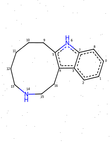 c1ccc2c3c([nH]c2c1)CCCCCNCC3